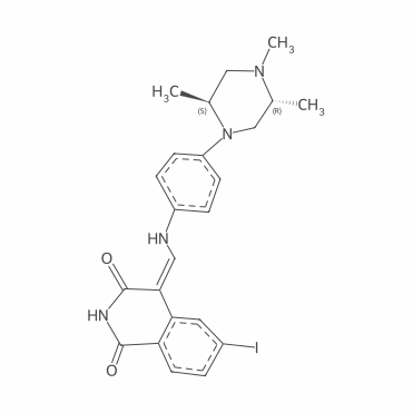 C[C@@H]1CN(c2ccc(NC=C3C(=O)NC(=O)c4ccc(I)cc43)cc2)[C@@H](C)CN1C